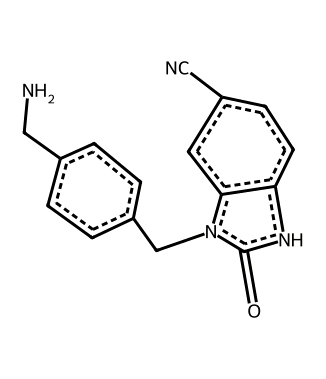 N#Cc1ccc2[nH]c(=O)n(Cc3ccc(CN)cc3)c2c1